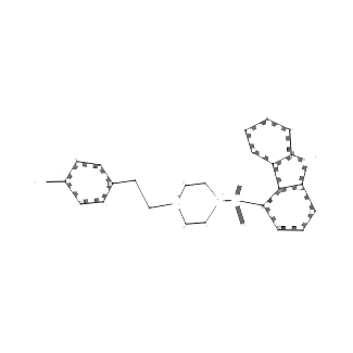 O=S(=O)(c1cccc2oc3ccccc3c12)N1CCN(CCc2ccc(F)cc2)CC1